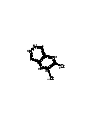 CCc1nc2cnncc2nc1CC